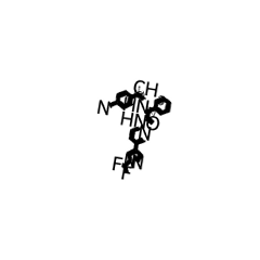 C[C@H](CN[C@@H](C(=O)Nc1ccc(-c2cnn(C(F)F)c2)cn1)c1ccccc1)c1ccc(C#N)cc1